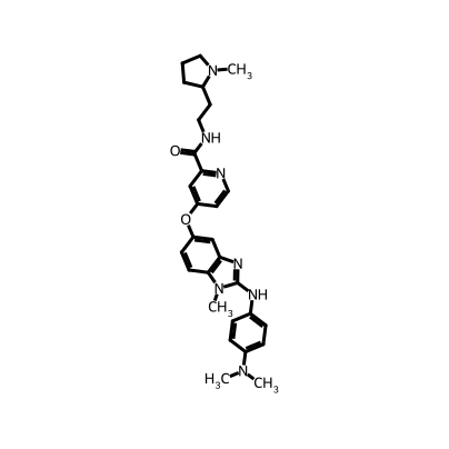 CN(C)c1ccc(Nc2nc3cc(Oc4ccnc(C(=O)NCCC5CCCN5C)c4)ccc3n2C)cc1